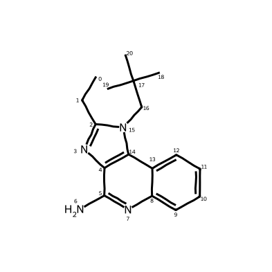 CCc1nc2c(N)nc3ccccc3c2n1CC(C)(C)C